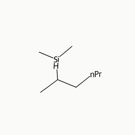 CCCCC(C)[SiH](C)C